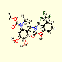 CCOC(=O)N1c2cc(OC)c(OC)cc2[C@H](N(Cc2ccccc2C(F)(F)F)C(=O)OC)C[C@@H]1C